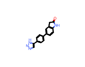 O=C1Cc2cc(-c3ccc(-c4cnn[nH]4)cc3)ccc2N1